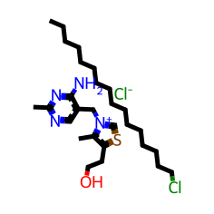 CCCCCCCCCCCCCCCCCl.Cc1ncc(C[n+]2csc(CCO)c2C)c(N)n1.[Cl-]